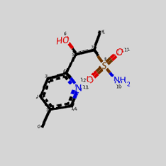 Cc1ccc(C(O)C(C)S(N)(=O)=O)nc1